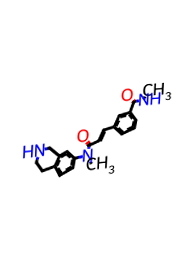 CNC(=O)c1cccc(C=CC(=O)N(C)c2ccc3c(c2)CNCC3)c1